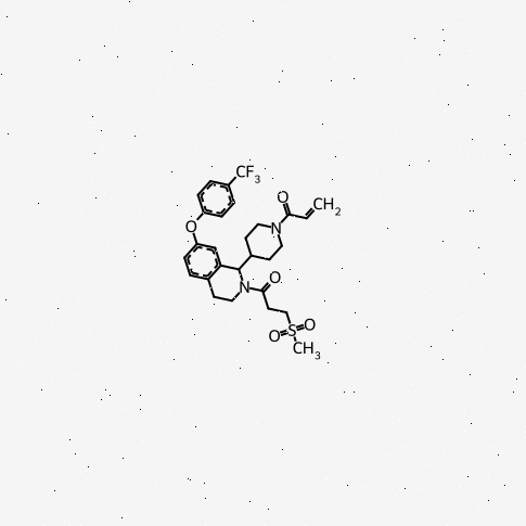 C=CC(=O)N1CCC(C2c3cc(Oc4ccc(C(F)(F)F)cc4)ccc3CCN2C(=O)CCS(C)(=O)=O)CC1